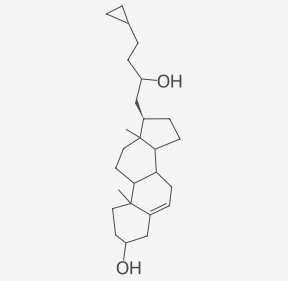 CC12CCC(O)CC1=CCC1C2CCC2(C)C1CC[C@@H]2CC(O)CCC1CC1